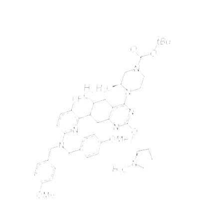 COc1ccc(CN(Cc2ccc(OC)cc2)c2ccc(C(F)(F)F)c(C3Cc4nc(OC[C@@H]5CCCN5C)nc(N5CCN(C(=O)OC(C)(C)C)C[C@@H]5C)c4CC3C)n2)cc1